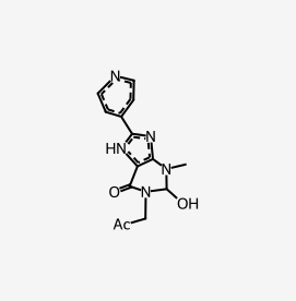 CC(=O)CN1C(=O)c2[nH]c(-c3ccncc3)nc2N(C)C1O